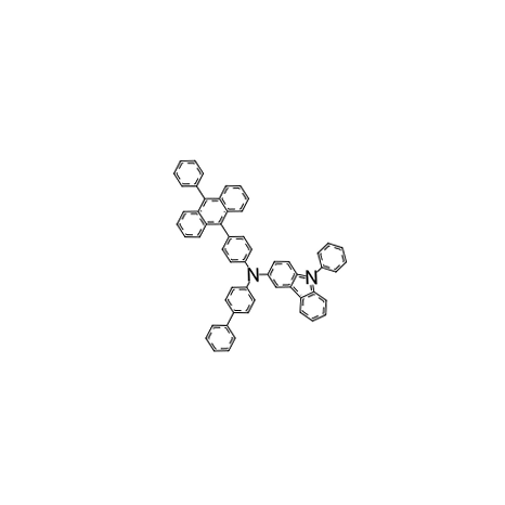 c1ccc(-c2ccc(N(c3ccc(-c4c5ccccc5c(-c5ccccc5)c5ccccc45)cc3)c3ccc4c(c3)c3ccccc3n4-c3ccccc3)cc2)cc1